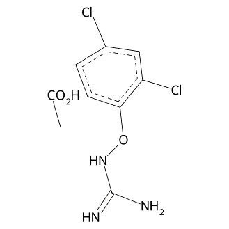 CC(=O)O.N=C(N)NOc1ccc(Cl)cc1Cl